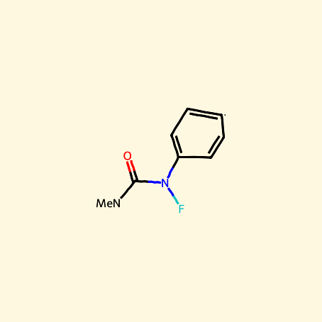 CNC(=O)N(F)c1cc[c]cc1